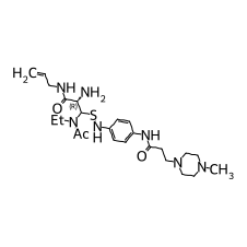 C=CCNC(=O)[C@@H](N)C(SNc1ccc(NC(=O)CCN2CCN(C)CC2)cc1)N(CC)C(C)=O